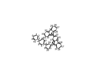 c1ccc(-c2ccc(-c3cccc(-n4c5ccccc5c5ccc(-n6c7ccccc7c7ccccc76)cc54)c3)cc2)cc1